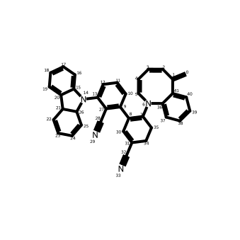 C=C1/C=C\C=C/N(C2=C(c3cccc(N4c5ccccc5C5C=CC=CC54)c3C#N)C=C(C#N)CC2)c2ccccc21